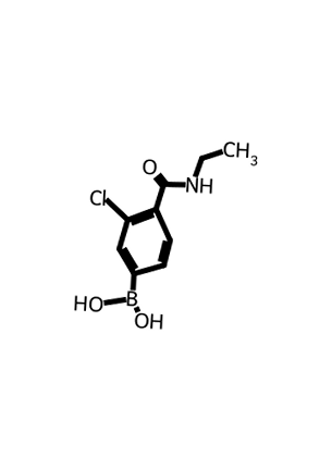 CCNC(=O)c1ccc(B(O)O)cc1Cl